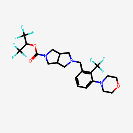 O=C(OC(C(F)(F)F)C(F)(F)F)N1CC2CN(Cc3cccc(N4CCOCC4)c3C(F)(F)F)CC2C1